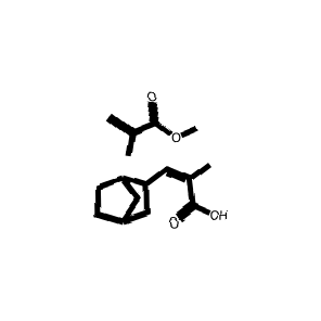 C=C(C)C(=O)OC.CC(=CC1CC2CCC1C2)C(=O)O